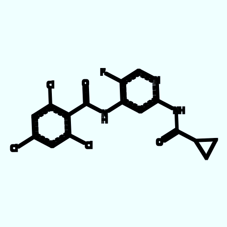 O=C(Nc1cc(NC(=O)C2CC2)ncc1F)c1c(Cl)cc(Cl)cc1Cl